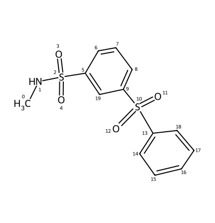 CNS(=O)(=O)c1cccc(S(=O)(=O)c2ccccc2)c1